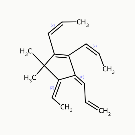 C=C/C=C1C(/C=C\C)=C(/C=C\C)C(C)(C)C/1=C/C